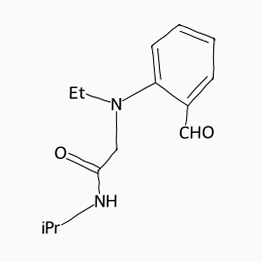 CCN(CC(=O)NC(C)C)c1ccccc1C=O